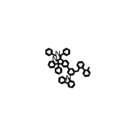 Cc1ccccc1-c1ccccc1Cc1cc(-c2ccc3c(c2)C(c2ccccc2)(c2ccccc2)c2nc(-c4ccccc4)nc(-c4ccccc4)c2-3)cc(-n2c3ccccc3c3ccccc32)c1